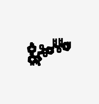 CN1CCN(c2ccnc3c2c(/C=C2\Oc4ccc(NC(=O)Nc5cccnc5)cc4C2=O)cn3C)CC1